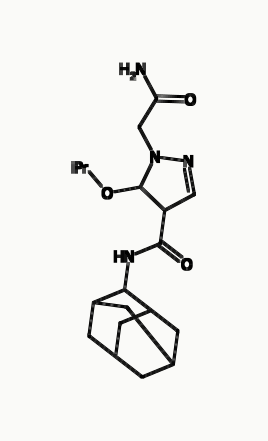 CC(C)OC1C(C(=O)NC2C3CC4CC(C3)CC2C4)C=NN1CC(N)=O